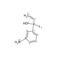 C=CC(O)(I)c1cccc(N)c1